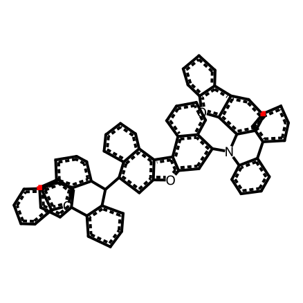 c1ccc(-c2ccccc2C(c2cc3oc4cc(N(c5ccccc5-c5ccccc5)c5cccc6c5oc5ccccc56)c5ccccc5c4c3c3ccccc23)c2cccc3c2oc2ccccc23)cc1